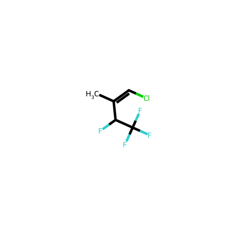 CC(=CCl)C(F)C(F)(F)F